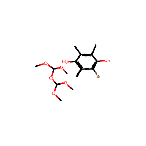 COC(OC)OC(OC)OC.Cc1c(C)c(O)c(Br)c(C)c1O